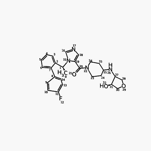 C[C@@H](c1ccccc1-c1ccc(F)cc1)n1cncc1C(=O)N1CCC(NC2COC[C@H]2O)CC1